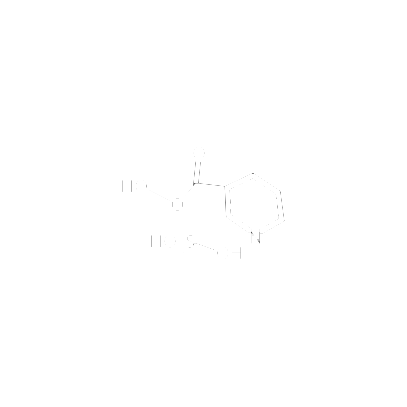 O=C(OO)c1cccnc1.O=S(=O)(O)O